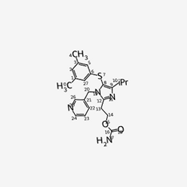 Cc1cc(C)cc(Sc2c(C(C)C)nc(CCOC(N)=O)n2Cc2cccnc2)c1